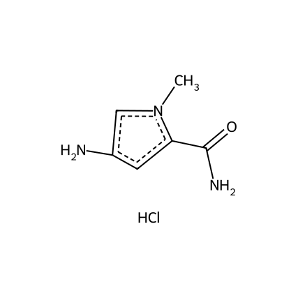 Cl.Cn1cc(N)cc1C(N)=O